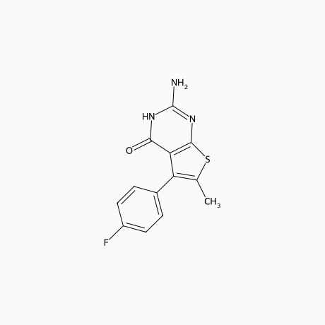 Cc1sc2nc(N)[nH]c(=O)c2c1-c1ccc(F)cc1